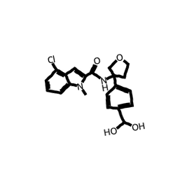 Cn1c(C(=O)NC2(c3ccc(C(O)O)cc3)CCOC2)cc2c(Cl)cccc21